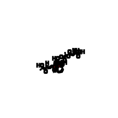 C[C@H](O)C(=O)NCCC(=O)O[C@@]12CC=C(OC(=O)[C@H](C)OC(=O)C[C@H](N)C(=O)O)[C@@H]3Oc4c(O)ccc5c4[C@@]31CCCN(C)[C@@H]2C5